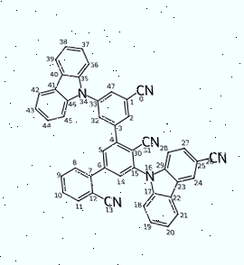 N#Cc1cc(-c2cc(-c3ccccc3C#N)cc(-n3c4ccccc4c4cc(C#N)ccc43)c2C#N)cc(-n2c3ccccc3c3ccccc32)c1